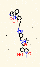 CC(C)(C)[Si](C)(C)O[C@H](CNCc1ccc2nn(CCCCc3ccc(-c4ccccc4)c(N(C(=O)O)[C@H]4CN5CCC4CC5)c3)nc2c1)c1ccc(O)c2[nH]c(=O)ccc12